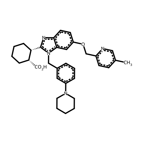 Cc1ccc(COc2ccc3nc([C@H]4CCCC[C@H]4C(=O)O)n(Cc4cccc(N5CCCCC5)c4)c3c2)nc1